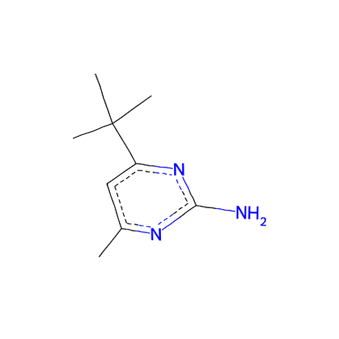 Cc1cc(C(C)(C)C)nc(N)n1